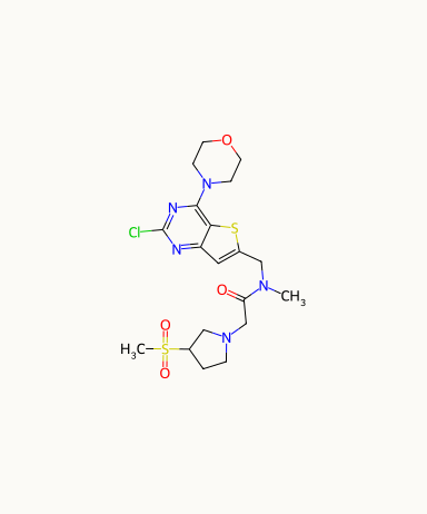 CN(Cc1cc2nc(Cl)nc(N3CCOCC3)c2s1)C(=O)CN1CCC(S(C)(=O)=O)C1